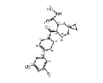 O=C(NO)C1CC2(CC2)CNC1C(=O)N1CC=C(c2cc(Cl)cc(Cl)c2)CC1